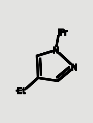 C[CH]c1cnn(C(C)C)c1